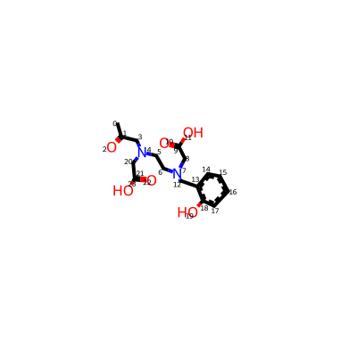 CC(=O)CN(CCN(CC(=O)O)Cc1ccccc1O)CC(=O)O